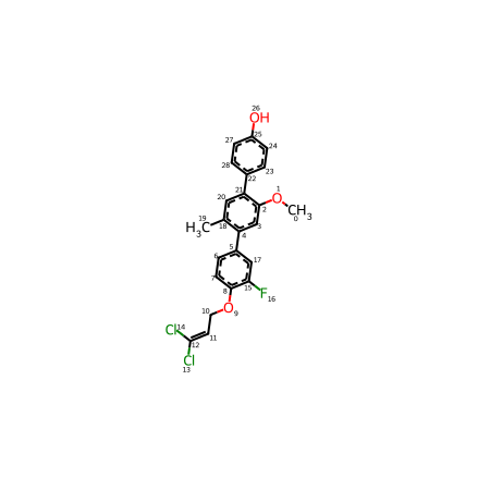 COc1cc(-c2ccc(OCC=C(Cl)Cl)c(F)c2)c(C)cc1-c1ccc(O)cc1